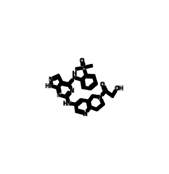 CP(C)(=O)c1ccccc1Nc1nc(Nc2cnc3c(c2)CN(C(=O)CO)CC3)nc2[nH]ncc12